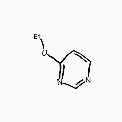 [CH2]COc1ccncn1